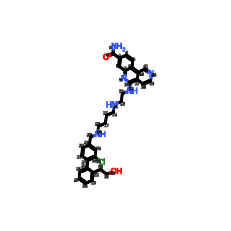 NC(=O)c1ccc2c(c1)nc(NCCNCCCCNCc1ccc(-c3ccccc3CCO)c(Cl)c1)c1ccncc12